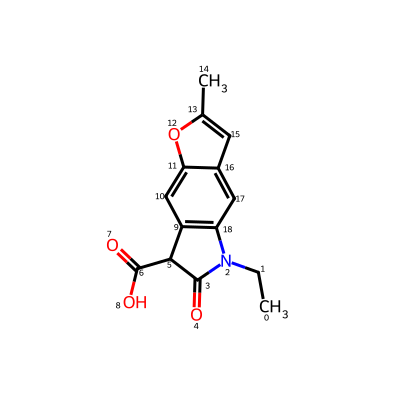 CCN1C(=O)C(C(=O)O)c2cc3oc(C)cc3cc21